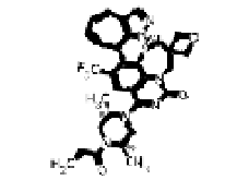 C=CC(=O)N1C[C@H](C)N(c2nc(=O)n3c4c(c(C5C#CC=Cc6cnn(C)c65)c(C(F)(F)F)cc24)SCC2(COC2)C3)C[C@H]1C